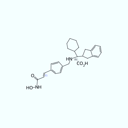 O=C(/C=C/c1ccc(CN[C@@](C(=O)O)(C2CCCCC2)C2Cc3ccccc3C2)cc1)NO